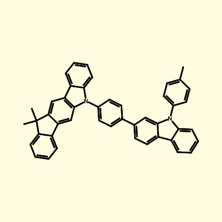 Cc1ccc(-n2c3ccccc3c3ccc(-c4ccc(-n5c6ccccc6c6cc7c(cc65)-c5ccccc5C7(C)C)cc4)cc32)cc1